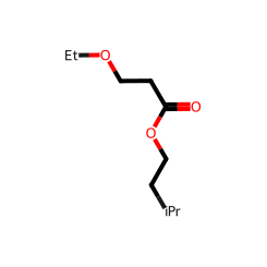 CCOCCC(=O)OCCC(C)C